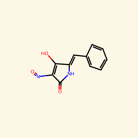 O=NC1=C(O)/C(=C/c2ccccc2)NC1=O